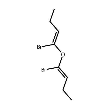 CC/C=C(\Br)O/C(Br)=C/CC